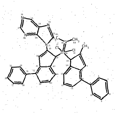 CC1=Cc2c(-c3ccccc3)cccc2[CH]1[Zr]([Cl])([Cl])([CH]1C(n2cnc3cncnc32)=Cc2c(-c3ccccc3)cccc21)=[Si](C)C